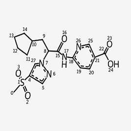 CS(=O)(=O)c1cnn(C(CC2CCCC2)C(=O)Nc2ccc(C(=O)O)cn2)c1